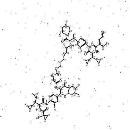 CCN/C(=C\C=N)C(=O)N[C@H](C(=O)Nc1ccc([C@H](C)[C@@H](NC(=O)COCCCOC(=O)N[C@@H](C)C(=O)N[C@@H](C(=O)N2CCN(C)[C@H](C)C2)[C@@H](C)c2ccc(NC(=O)[C@@H](NC(=O)C3(F)CC3)C(C3CC3)C3CC3)c(F)c2)C(=O)N2CCN(C)C[C@@H]2C)cc1F)C(C1CC1)C1CC1